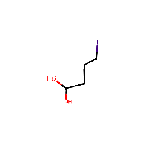 OC(O)CCCI